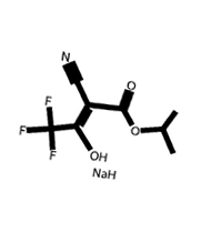 CC(C)OC(=O)C(C#N)=C(O)C(F)(F)F.[NaH]